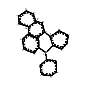 c1ccc(P(c2ccccc2)c2ccccc2-c2ccc3ccccc3c2)cc1